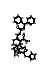 CO[C@@]1(NC(=O)Cc2cccs2)C(=O)N2C(C(=O)O)=C(C=CC(=O)OC(c3ccccc3)c3ccccc3)CS[C@H]21